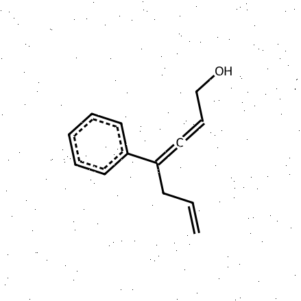 C=CCC(=C=CCO)c1ccccc1